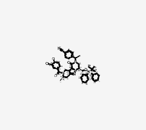 CC(c1ccc(C#N)cc1)N1C[C@@H](CO[Si](c2ccccc2)(c2ccccc2)C(C)(C)C)n2nc3c(c2C1=O)CN(C(=O)c1ccc(Cl)c(Cl)c1)[C@H](C)C3